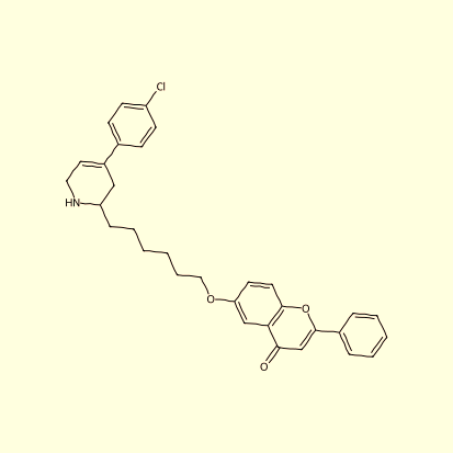 O=c1cc(-c2ccccc2)oc2ccc(OCCCCCCC3CC(c4ccc(Cl)cc4)=CCN3)cc12